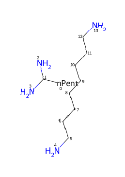 CCCCCC(N)N.NCCCCCCCCN